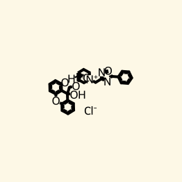 O=C(O[C@H]1C[N+]2(Cc3noc(-c4ccccc4)n3)CCC1CC2)C1(O)c2ccccc2Oc2ccccc21.[Cl-]